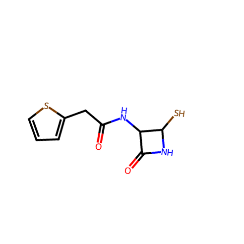 O=C(Cc1cccs1)NC1C(=O)NC1S